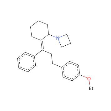 CCOc1ccc(CCC(=C2CCCCC2N2CCC2)c2ccccc2)cc1